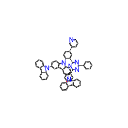 c1ccc(-c2nc(-c3ccccc3)nc(-c3cc(-c4cccnc4)ccc3-n3c4ccc(-n5c6ccccc6c6ccccc65)cc4c4cc(-n5c6ccccc6c6ccccc65)ccc43)n2)cc1